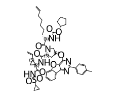 C=CCCCCC[C@H](NC(=O)OC1CCCC1)C(=O)N1C[C@H](Oc2nc(-c3ccc(C)cc3)nc3c2oc2ccccc23)C[C@H]1C(=O)N[C@]1(C(=O)NS(=O)(=O)C2CC2)C[C@H]1C=C